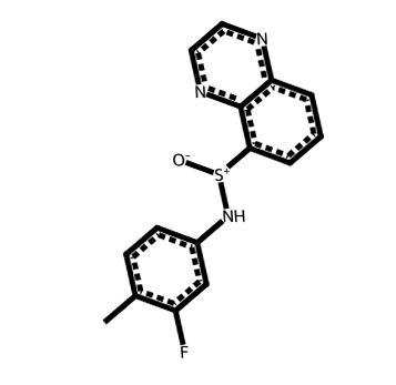 Cc1ccc(N[S+]([O-])c2cccc3nccnc23)cc1F